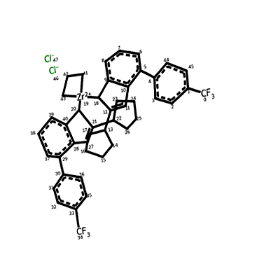 FC(F)(F)c1ccc(-c2cccc3c2C=C(C2CCCC2)[CH]3[Zr+2]2([CH]3C(C4CCCC4)=Cc4c(-c5ccc(C(F)(F)F)cc5)cccc43)[CH2]C[CH2]2)cc1.[Cl-].[Cl-]